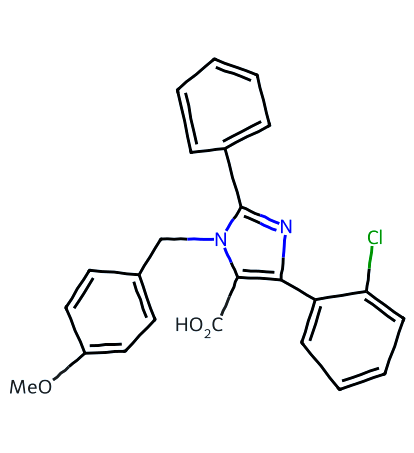 COc1ccc(Cn2c(-c3ccccc3)nc(-c3ccccc3Cl)c2C(=O)O)cc1